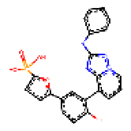 O=P(O)(O)c1ccc(-c2ccc(O)c(-c3cccn4nc(Nc5ccccc5)nc34)c2)o1